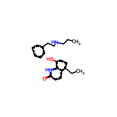 CCCNCCc1ccccc1.CCc1ccc(O)c2[nH]c(=O)ccc12